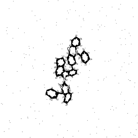 c1ccc(-c2nc(-n3c4cccc(-c5ccc6c(c5)N(c5ccccc5)c5ccccc5O6)c4c4c5ccccc5ccc43)nc3ccccc23)cc1